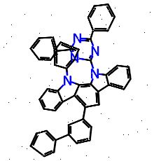 c1ccc(-c2cccc(-c3cc4c5ccccc5n(-c5nc(-c6ccccc6)nc(-c6ccccc6)n5)c4c4c3c3ccccc3n4-c3ccccc3)c2)cc1